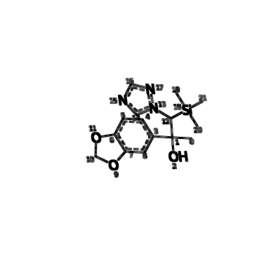 CC(O)(c1ccc2c(c1)OCO2)C(n1cncn1)[Si](C)(C)C